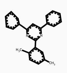 Cc1ccc(C)c(-c2nc(-c3ccccc3)cc(-c3ccccc3)n2)c1